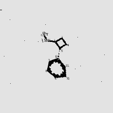 CC(C)NC1CC[C@@H]1c1ccccc1